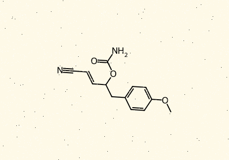 COc1ccc(CC(C=CC#N)OC(N)=O)cc1